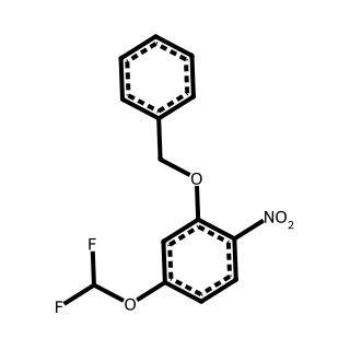 O=[N+]([O-])c1ccc(OC(F)F)cc1OCc1ccccc1